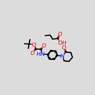 CC(C)(C)OC(=O)C(=O)Nc1ccc(N2CCCCC2=O)cc1.CCCC(=O)O